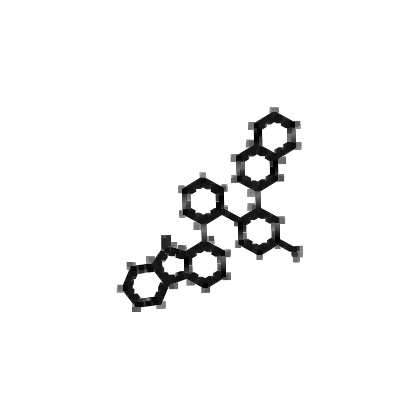 Clc1ccc(-c2ccccc2-c2cccc3c2[nH]c2ccccc23)c(-c2ccc3ccccc3c2)c1